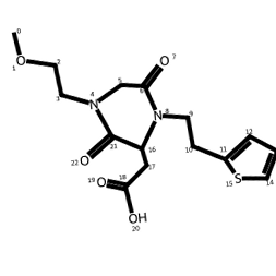 COCCN1CC(=O)N(CCc2cccs2)C(CC(=O)O)C1=O